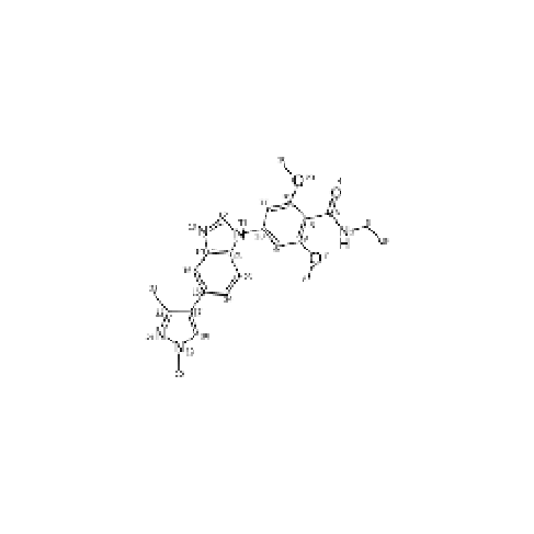 CCNC(=O)c1c(OC)cc(-n2cnc3cc(-c4cn(C)nc4C)ccc32)cc1OC